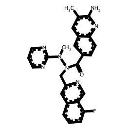 Cc1cc2cc(C(=O)N(Cc3cc4cccc(F)c4cn3)N(C)c3ncccn3)ccc2nc1N